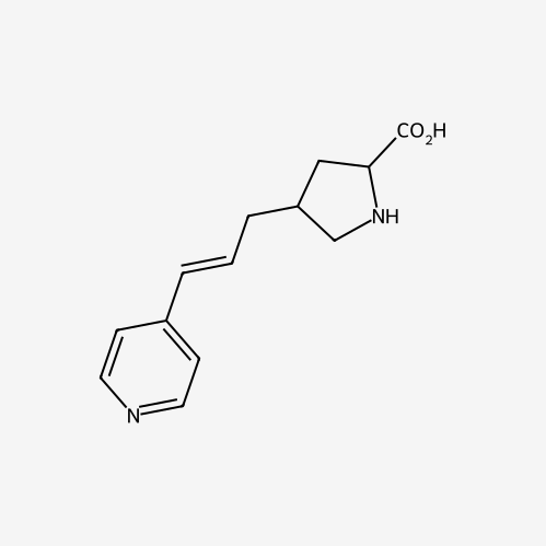 O=C(O)C1CC(CC=Cc2ccncc2)CN1